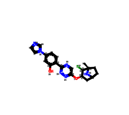 C[C@]12CCC(C[C@@H](Oc3cnc(-c4ccc(-n5ccnc5)cc4O)nn3)[C@H]1F)N2